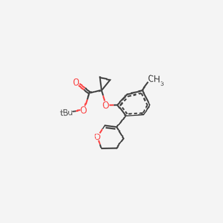 Cc1ccc(C2=COCCC2)c(OC2(C(=O)OC(C)(C)C)CC2)c1